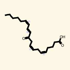 CCCCC/C=C\C=C\C(=O)C/C=C\C/C=C\CCCC(=O)O